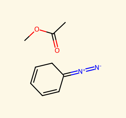 COC(C)=O.[N-]=[N+]=C1C=CC=CC1